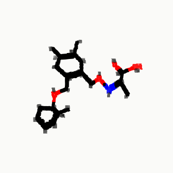 CC(=NOCC1=C(COc2ccccc2C)CC(C)=C(C)C1)C(=O)O